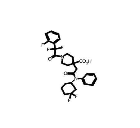 O=C(CC1(C(=O)O)CCN(C(=O)C(F)(F)c2ccccc2F)CC1)N(c1ccccc1)[C@@H]1CCCC(F)(F)C1